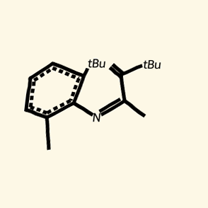 C=C(/C(C)=N\c1c(C)cccc1C(C)(C)C)C(C)(C)C